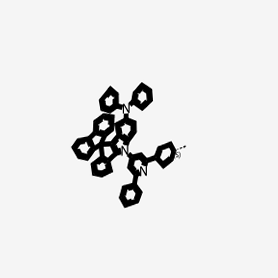 C[C@@H]1C=CC(c2cc(-n3c4c(c5cc(N(c6ccccc6)c6ccccc6)ccc53)C3(c5ccccc5-c5ccccc53)c3ccccc3-4)cc(-c3ccccc3)n2)=CC1